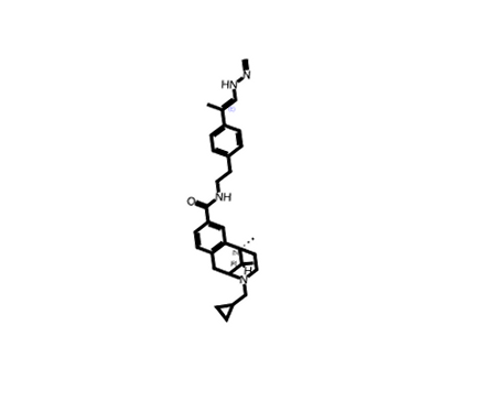 C=NN/C=C(\C)c1ccc(CCNC(=O)c2ccc3c(c2)[C@@]2(C)CCN(CC4CC4)C(C3)[C@@H]2C)cc1